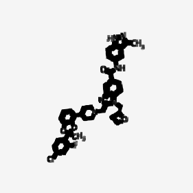 Cc1n[nH]c2ccc(NC(=O)c3ccc4c(c3)nc(CN3CC=C(c5cccc6c5OC(C)(c5ccc(Cl)cc5F)O6)CC3)n4C[C@@H]3CCO3)cc12